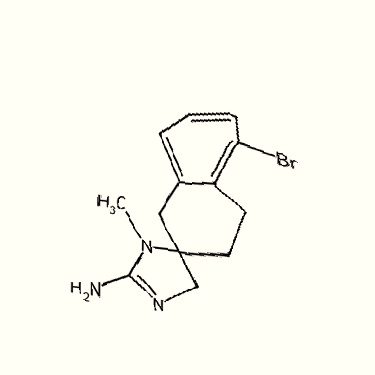 CN1C(N)=NCC12CCc1c(Br)cccc1C2